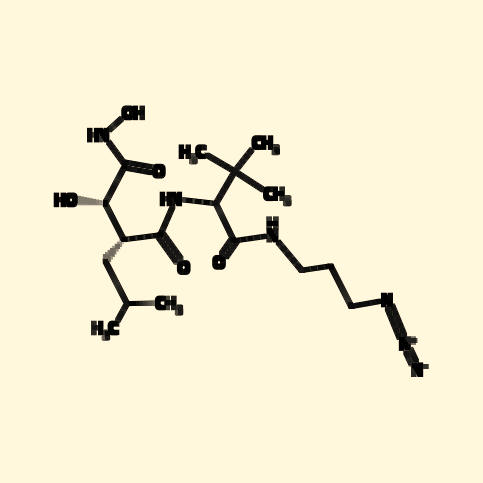 CC(C)C[C@@H](C(=O)NC(C(=O)NCCCN=[N+]=[N-])C(C)(C)C)[C@H](O)C(=O)NO